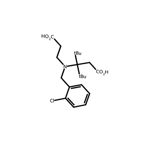 CC(C)(C)C(CC(=O)O)(N(CCC(=O)O)Cc1ccccc1Cl)C(C)(C)C